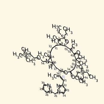 CC[Si](CC)(CC)O[C@H]1[C@@H](C)CCC[C@]2(C)[C@H](C[C@@H](/C(C)=C/c3ccn(Cn4cccn4)n3)OC(=O)C[C@H](O[Si](CC)(CC)CC)C(C)(C)C(=O)[C@@H]1C)N2COCC[Si](C)(C)C